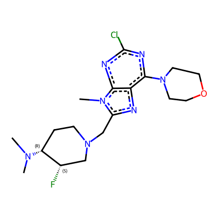 CN(C)[C@@H]1CCN(Cc2nc3c(N4CCOCC4)nc(Cl)nc3n2C)C[C@@H]1F